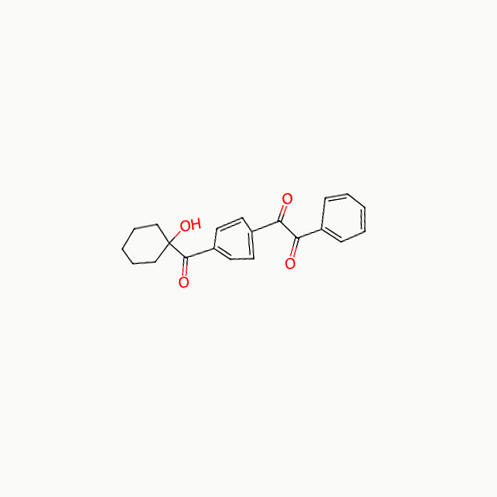 O=C(C(=O)c1ccc(C(=O)C2(O)CCCCC2)cc1)c1ccccc1